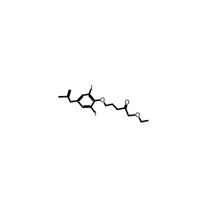 C=C(C)Cc1cc(I)c(OCCCC(=O)COCC)c(I)c1